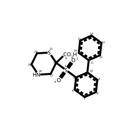 O=C(O)C1(S(=O)(=O)c2ccccc2-c2ccccc2)CNCCS1